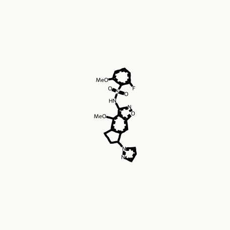 COc1cccc(F)c1S(=O)(=O)Nc1noc2cc3c(c(OC)c12)CCC3n1cccn1